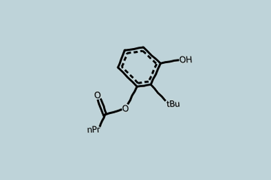 CCCC(=O)Oc1cccc(O)c1C(C)(C)C